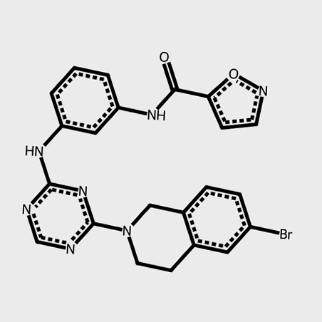 O=C(Nc1cccc(Nc2ncnc(N3CCc4cc(Br)ccc4C3)n2)c1)c1ccno1